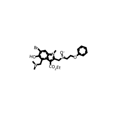 CCOC(=O)c1c(C[S+]([O-])CCOc2ccccc2)n(C)c2cc(Br)c(O)c(CN(C)C)c12